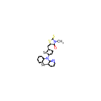 CN1C(=O)/C(=C\c2ccc(N3c4ccccc4[Se]c4cccnc43)[se]2)SC1=S